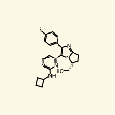 OC[C@H]1CCc2nc(-c3ccc(F)cc3)c(-c3ccnc(NC4CCC4)n3)n21